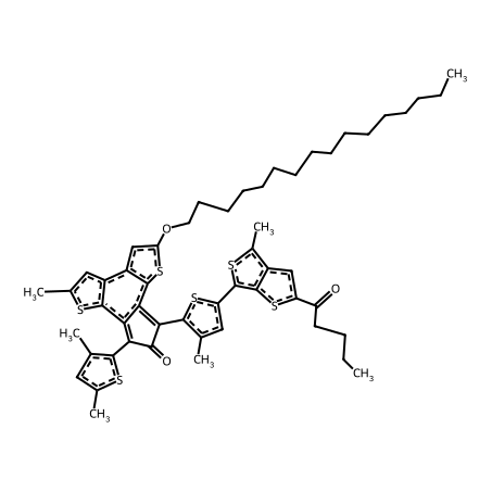 CCCCCCCCCCCCCCCCOc1cc2c(s1)c1c(c3sc(C)cc32)=C(c2sc(C)cc2C)C(=O)C=1c1sc(-c2sc(C)c3cc(C(=O)CCCC)sc23)cc1C